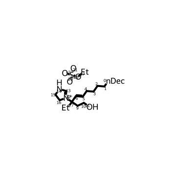 CCCCCCCCCCCCCCC=CC(CC)(CCO)[N+]1=CNCC1.CCOS(=O)(=O)[O-]